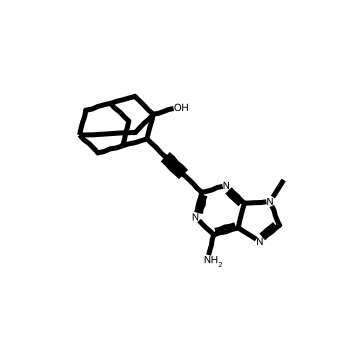 Cn1cnc2c(N)nc(C#CC3C4CC5CC(C4)CC3(O)C5)nc21